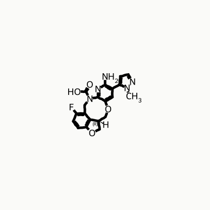 Cn1nccc1-c1cc2c(nc1N)N(C(=O)O)Cc1c(F)ccc3c1[C@@H](CO2)CO3